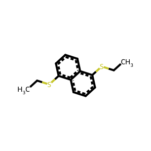 CCSc1cccc2c(SCC)cccc12